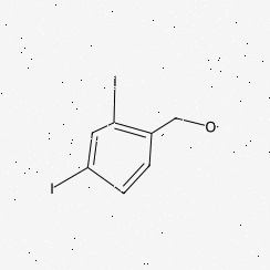 [O]Cc1ccc(I)cc1I